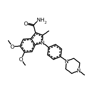 COc1cc2c(C(N)=O)c(C)n(-c3ccc(N4CCN(C)CC4)cc3)c2cc1OC